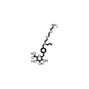 NCCOCCOCCN(CCI)Cc1ccc(CC2OC(C(=O)O)C(O)C(O)C2O)cc1